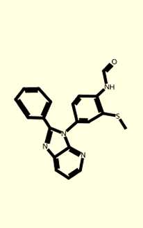 CSc1cc(-n2c(-c3ccccc3)nc3cccnc32)ccc1NC=O